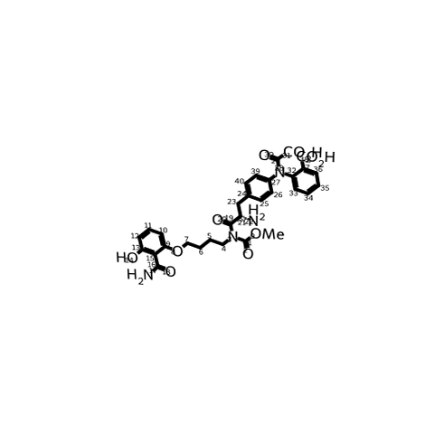 COC(=O)N(CCCCOc1cccc(O)c1C(N)=O)C(=O)[C@@H](N)Cc1ccc(N(C(=O)C(=O)O)c2ccccc2C(=O)O)cc1